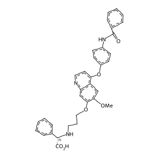 COc1cc2c(Oc3ccc(NC(=O)c4ccccc4)cc3)ccnc2cc1OCCCN[C@H](C(=O)O)c1ccccc1